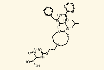 CC(C)C[C@@H](NC(=O)[C@@H](Cc1ccccc1)NC(=O)c1cnccn1)B1OCCCN(CCSC(=O)NC(P(O)O)[PH](=O)O)CCCO1